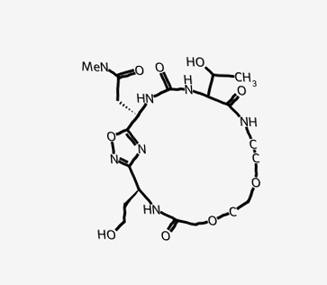 CNC(=O)C[C@@H]1NC(=O)NC(C(C)O)C(=O)NCCOCCOCC(=O)N[C@@H](CCO)c2noc1n2